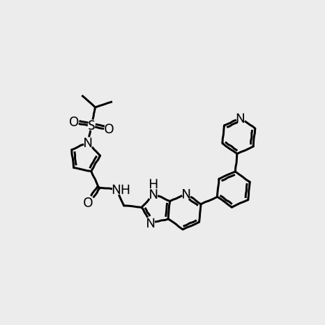 CC(C)S(=O)(=O)n1ccc(C(=O)NCc2nc3ccc(-c4cccc(-c5ccncc5)c4)nc3[nH]2)c1